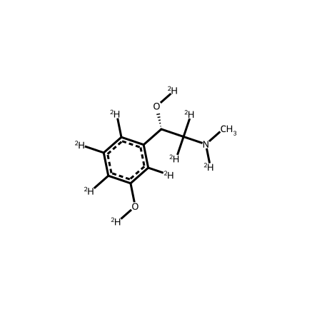 [2H]Oc1c([2H])c([2H])c([2H])c([C@H](O[2H])C([2H])([2H])N([2H])C)c1[2H]